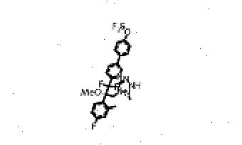 CO[C@](CN1C=NNN1C)(c1ccc(F)cc1C)C(F)(F)c1ccc(-c2ccc(OC(F)(F)F)cc2)cn1